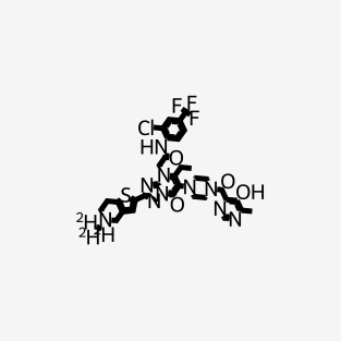 [2H]C([2H])([2H])N1CCc2sc(-c3nc4n(CC(=O)Nc5ccc(C(F)(F)F)cc5Cl)c(CC)c(N5CCN(C(=O)c6ncnc(C)c6O)CC5)c(=O)n4n3)cc2C1